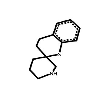 c1ccc2c(c1)CCC1(CCCNC1)S2